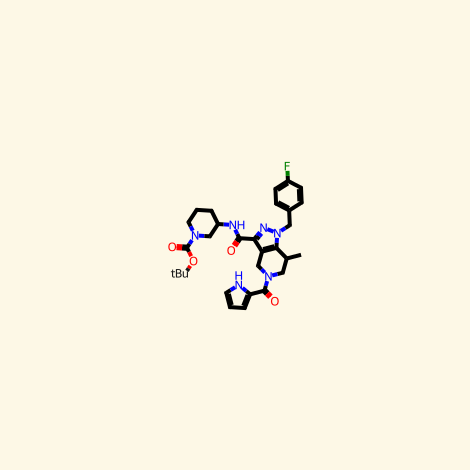 CC1CN(C(=O)c2ccc[nH]2)Cc2c(C(=O)NC3CCCN(C(=O)OC(C)(C)C)C3)nn(Cc3ccc(F)cc3)c21